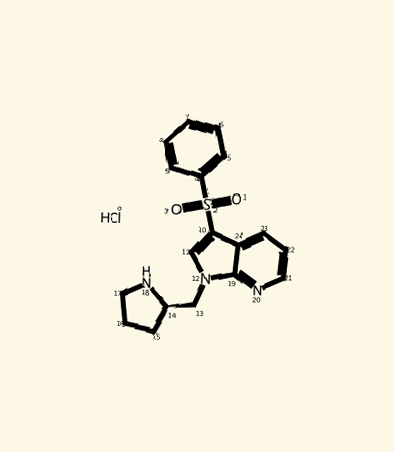 Cl.O=S(=O)(c1ccccc1)c1cn(C[C@H]2CCCN2)c2ncccc12